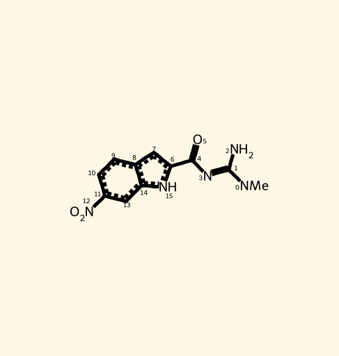 CNC(N)=NC(=O)c1cc2ccc([N+](=O)[O-])cc2[nH]1